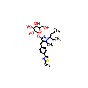 CCCC(CC)n1nc(O[C@@H]2O[C@H](CO)[C@@H](O)C(O)[C@H]2O)c(Cc2ccc(-c3csc(C)n3)cc2)c1C